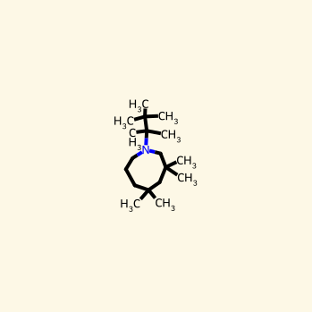 CC1(C)CCCN(C(C)(C)C(C)(C)C)CC(C)(C)C1